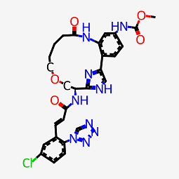 COC(=O)Nc1ccc2c(c1)NC(=O)CCCCOC[C@H](NC(=O)/C=C/c1cc(Cl)ccc1-n1cnnn1)c1nc-2c[nH]1